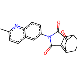 Cc1ccc2cc(N3C(=O)C4=C5CCC(C(=O)C5)C4C3=O)ccc2n1